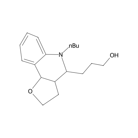 CCCCN1c2ccccc2C2OCCC2C1CCCO